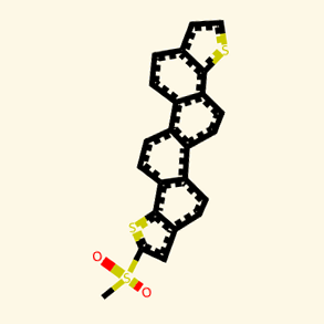 CS(=O)(=O)c1cc2ccc3c4ccc5c(ccc6ccsc65)c4ccc3c2s1